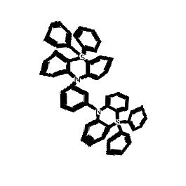 c1ccc(S2(c3ccccc3)c3ccccc3N(c3cccc(N4c5ccccc5S(c5ccccc5)(c5ccccc5)c5ccccc54)c3)c3ccccc32)cc1